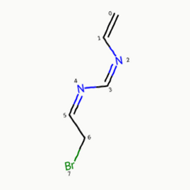 C=C/N=C\N=C/CBr